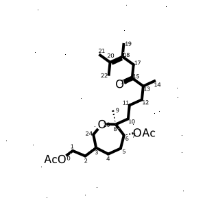 CC(=O)OCCC1CC[C@@H](OC(C)=O)[C@](C)(CCCC(C)C(=O)CC(C)=C(C)C)OC1